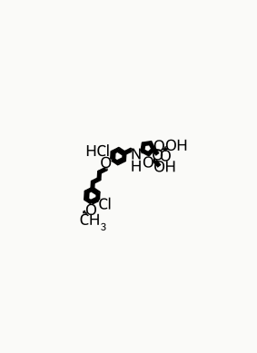 CCOc1ccc(CCCCOc2ccc(CNC3CCC(OC(=O)O)(OC(=O)O)C3)cc2)cc1Cl.Cl